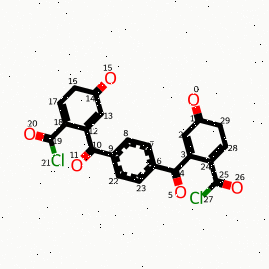 O=C1C=C(C(=O)c2ccc(C(=O)C3=CC(=O)CC=C3C(=O)Cl)cc2)C(C(=O)Cl)=CC1